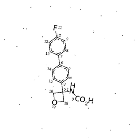 O=C(O)NC1(c2ccc(-c3ccc(F)cc3)cc2)COC1